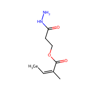 CC(=[CH][GeH3])C(=O)OCCC(=O)NN